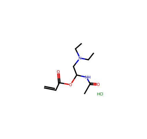 C=CC(=O)OC(CN(CC)CC)NC(C)=O.Cl